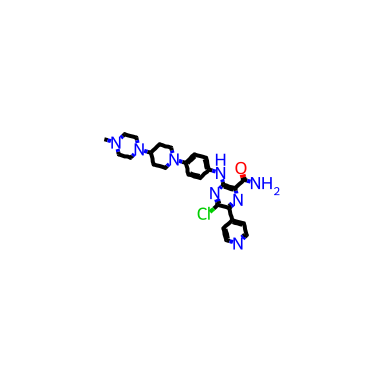 CN1CCN(C2CCN(c3ccc(Nc4nc(Cl)c(-c5ccncc5)nc4C(N)=O)cc3)CC2)CC1